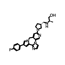 C[C@H](CO)NC[C@H]1CCN(c2cc3c(cn2)-n2ccnc2-c2cc(-c4ccc(F)cc4)cn2C3)C1